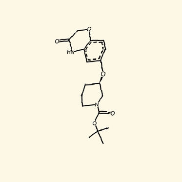 CC(C)(C)OC(=O)N1CCC[C@@H](Oc2ccc3c(c2)NC(=O)CO3)C1